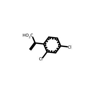 C=C(C(=O)O)c1ccc(Cl)cc1Cl